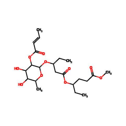 CC=CC(=O)OC1C(OC(CC)CC(=O)OC(CC)CCC(=O)OC)OC(C)C(O)C1O